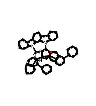 c1ccc(-c2cccc(-c3cc(-c4ccccc4-c4ccccc4)cc(-n4c5ccccc5c5ccc6c7ccccc7n(-c7nc(-c8ccccc8)nc(-c8ccccc8)n7)c6c54)c3)c2)cc1